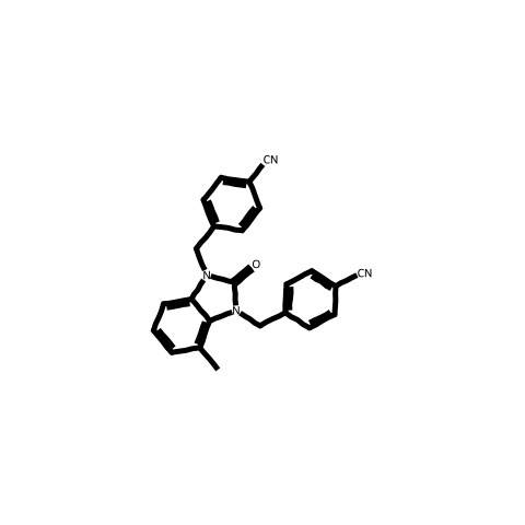 Cc1cccc2c1n(Cc1ccc(C#N)cc1)c(=O)n2Cc1ccc(C#N)cc1